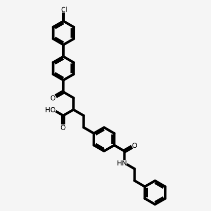 O=C(CC(CCc1ccc(C(=O)NCCc2ccccc2)cc1)C(=O)O)c1ccc(-c2ccc(Cl)cc2)cc1